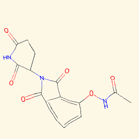 CC(=O)NOc1cccc2c1C(=O)N(C1CCC(=O)NC1=O)C2=O